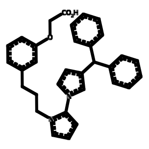 O=C(O)COc1cccc(CCCn2cccc2-n2ccc(C(c3ccccc3)c3ccccc3)c2)c1